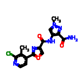 Cc1c(-c2nc(C(=O)Nc3cn(C)nc3C(N)=O)co2)ccnc1Cl